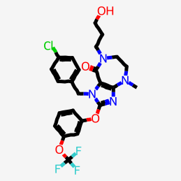 CN1CCN(CCCO)C(=O)c2c1nc(Oc1cccc(OC(F)(F)F)c1)n2Cc1ccc(Cl)cc1